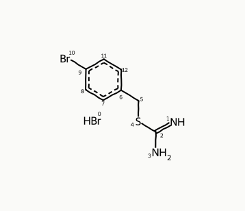 Br.N=C(N)SCc1ccc(Br)cc1